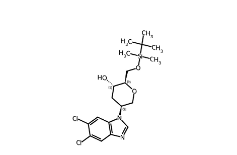 CC(C)(C)[Si](C)(C)OC[C@H]1OC[C@@H](n2cnc3cc(Cl)c(Cl)cc32)C[C@@H]1O